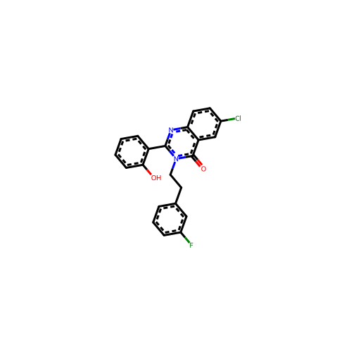 O=c1c2cc(Cl)ccc2nc(-c2ccccc2O)n1CCc1cccc(F)c1